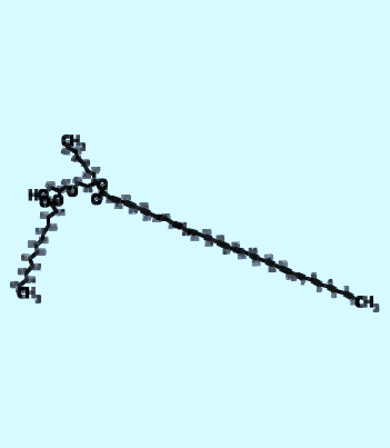 CC#CC#CC#CC#CC#CC#CC#CC#CC#CC#CC#CC#CC#CC#CC#CC#CC(=O)O[C@H](CCCCCCC)CCOCC(CO)OC(=O)CCCCCCCCCCCCC